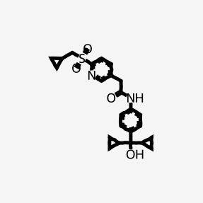 O=C(Cc1ccc(S(=O)(=O)CC2CC2)nc1)Nc1ccc(C(O)(C2CC2)C2CC2)cc1